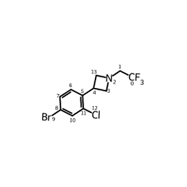 FC(F)(F)CN1CC(c2ccc(Br)cc2Cl)C1